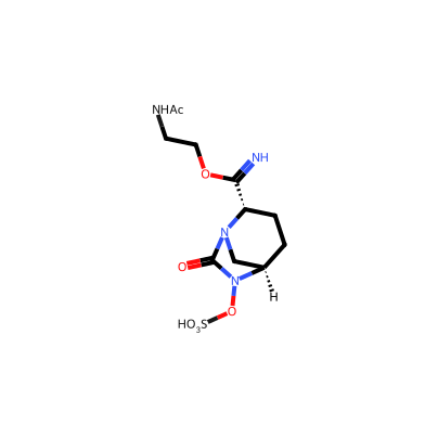 CC(=O)NCCOC(=N)[C@@H]1CC[C@@H]2CN1C(=O)N2OS(=O)(=O)O